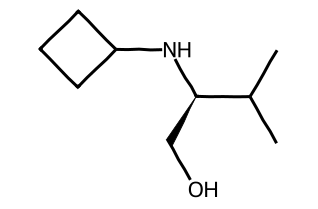 CC(C)[C@@H](CO)NC1CCC1